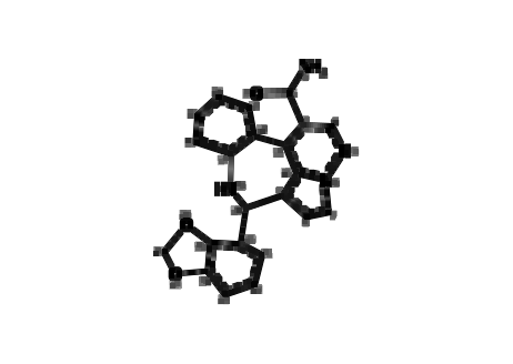 NC(=O)c1cnn2ccc3c2c1-c1ccccc1NC3c1cccc2c1OCO2